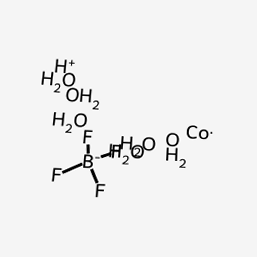 F[B-](F)(F)F.O.O.O.O.O.O.[Co].[H+]